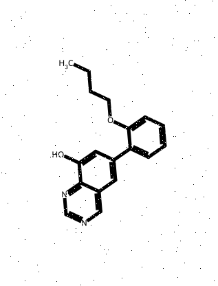 CCCCOc1ccccc1-c1cc(O)c2ncncc2c1